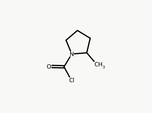 CC1CCCN1C(=O)Cl